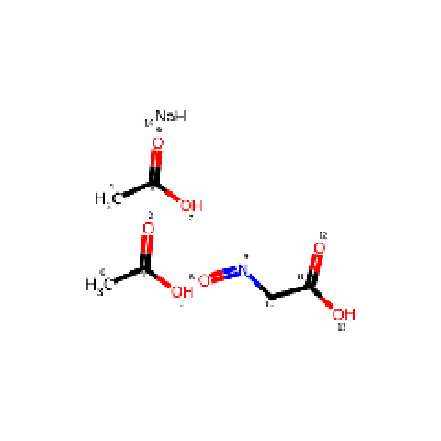 CC(=O)O.CC(=O)O.O=NCC(=O)O.[NaH]